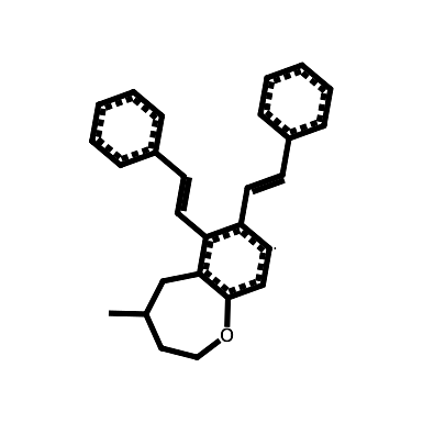 CC1CCOc2c[c]c(C=Cc3ccccc3)c(C=Cc3ccccc3)c2C1